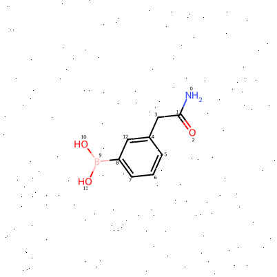 NC(=O)Cc1cccc(B(O)O)c1